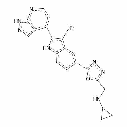 CC(C)c1c(-c2ccnc3[nH]ncc23)[nH]c2ccc(-c3nnc(CNC4CC4)o3)cc12